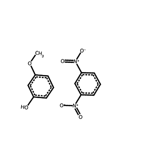 COc1cccc(O)c1.O=[N+]([O-])c1cccc([N+](=O)[O-])c1